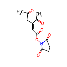 CC(=O)C/C(=C/C(=O)ON1C(=O)CCC1=O)C(C)=O